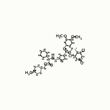 COc1ccc([C@H](Cc2c(Cl)c[n+]([O-])cc2Cl)OC(=O)c2csc(CNC(C(=O)OCC3CCN(C)CC3)c3ccccc3)c2)cc1OC